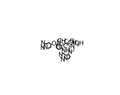 Cc1cc(Nc2ncnn3ccc(N4CCN(C(=O)O)C(C(C)(C)C)C4)c23)ccc1Oc1ccn2ncnc2c1